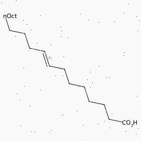 CCCCCCCCCCC/C=C/CCCCCCC(=O)O